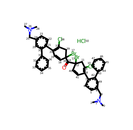 CN(C)Cc1ccc(C2=C(Cl)CC(Br)(C(=O)C3(Br)C=CC(c4ccc(CN(C)C)cc4-c4ccccc4)=C(Cl)C3)C=C2)c(-c2ccccc2)c1.Cl